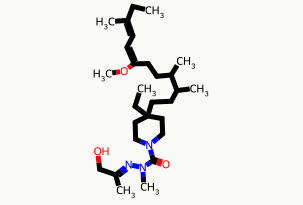 CC/C(C)=C/C=C(\CCC(C)C(C)CCC1(CC)CCN(C(=O)N(C)/N=C(\C)CO)CC1)OC